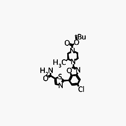 C[C@H]1CN(C(=O)OC(C)(C)C)CCN1c1nc2cc(Cl)cc(-c3ncc(C(N)=O)s3)c2o1